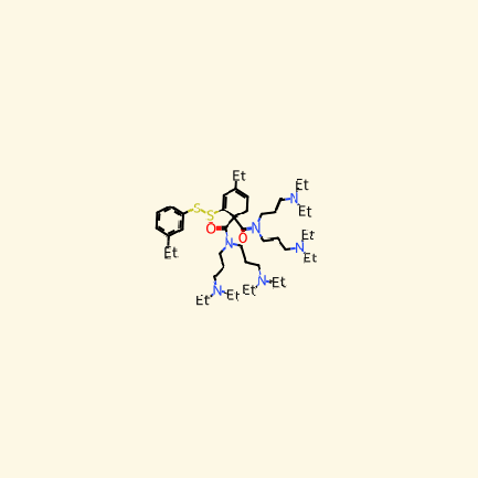 CCC1=CCC(C(=O)N(CCCN(CC)CC)CCCN(CC)CC)(C(=O)N(CCCN(CC)CC)CCCN(CC)CC)C(SSc2cccc(CC)c2)=C1